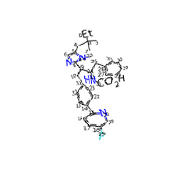 CCC(C)(C)Cc1cnc(C(Cc2ccc(-c3ccc(F)cn3)cc2)C(Cc2ccccc2)NC(=O)O)n1C